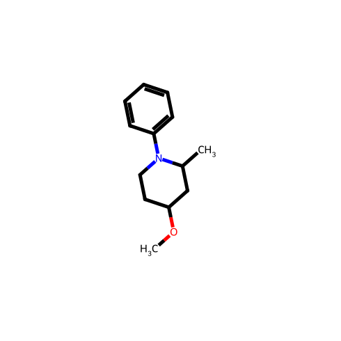 COC1CCN(c2ccccc2)C(C)C1